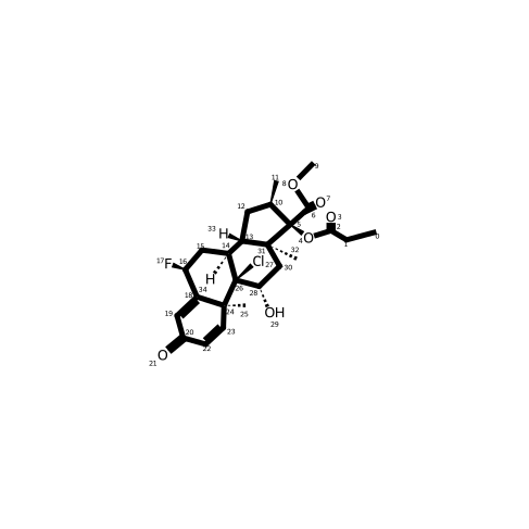 CCC(=O)O[C@]1(C(=O)OC)[C@H](C)C[C@H]2[C@@H]3C[C@H](F)C4=CC(=O)C=C[C@]4(C)[C@@]3(Cl)[C@@H](O)C[C@@]21C